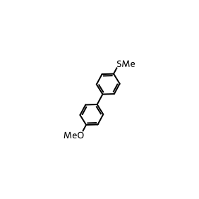 COc1ccc(-c2ccc(SC)cc2)cc1